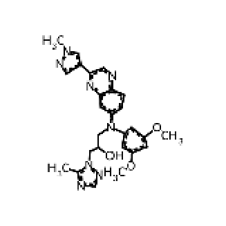 COc1cc(OC)cc(N(CC(O)Cn2ncnc2C)c2ccc3ncc(-c4cnn(C)c4)nc3c2)c1